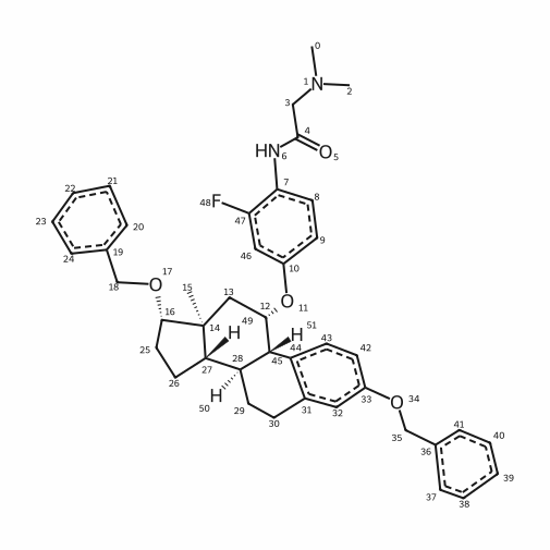 CN(C)CC(=O)Nc1ccc(O[C@H]2C[C@]3(C)[C@@H](OCc4ccccc4)CC[C@H]3[C@@H]3CCc4cc(OCc5ccccc5)ccc4[C@H]32)cc1F